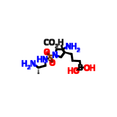 C[C@H](N)CNS(=O)(=O)N1C[C@H](CCCB(O)O)[C@](N)(C(=O)O)C1